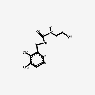 CN(CCO)C(=O)NCc1cccc(Cl)c1Cl